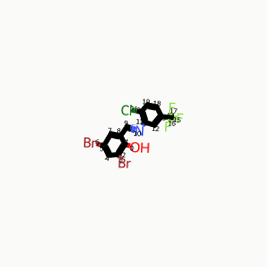 Oc1c(Br)cc(Br)cc1/C=N/c1cc(C(F)(F)F)ccc1Cl